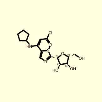 OC[C@H]1O[C@@H](c2ncc3c(NC4CCCC4)cc(Cl)nn23)[C@H](O)[C@@H]1O